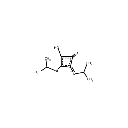 CC(C)/N=c1/c(NC(C)C)c(O)c1=O